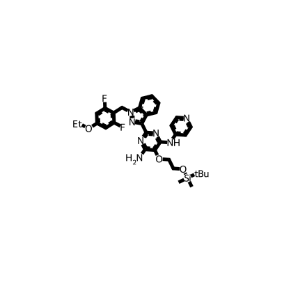 CCOc1cc(F)c(Cn2nc(-c3nc(N)c(OCCO[Si](C)(C)C(C)(C)C)c(Nc4ccncc4)n3)c3ccccc32)c(F)c1